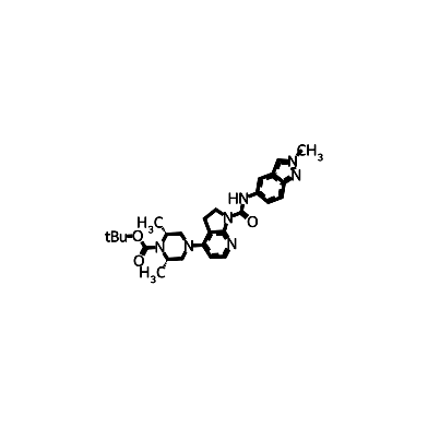 C[C@@H]1CN(c2ccnc3c2CCN3C(=O)Nc2ccc3nn(C)cc3c2)C[C@H](C)N1C(=O)OC(C)(C)C